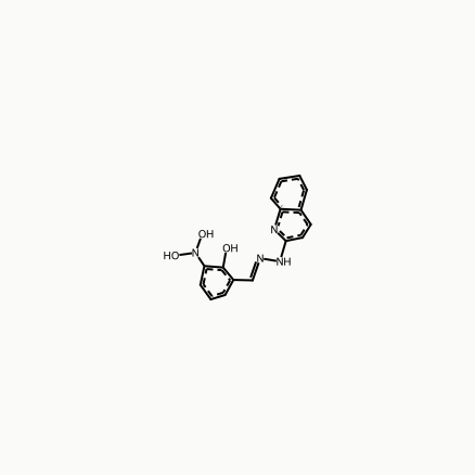 Oc1c(C=NNc2ccc3ccccc3n2)cccc1N(O)O